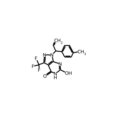 C=CC(c1ccc(C)cc1)n1nc(C(F)(F)F)c2c(=O)[nH]c(O)nc21